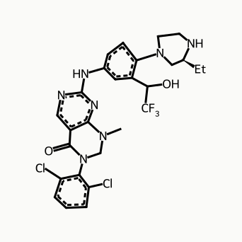 CC[C@H]1CN(c2ccc(Nc3ncc4c(n3)N(C)CN(c3c(Cl)cccc3Cl)C4=O)cc2C(O)C(F)(F)F)CCN1